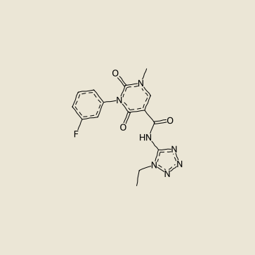 CCn1nnnc1NC(=O)c1cn(C)c(=O)n(-c2cccc(F)c2)c1=O